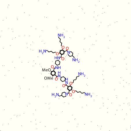 COc1cc(OC)c(C(=O)N[C@H]2CC[C@@H](NC(=O)c3cc(C(=O)N4CCC(CN)CC4)c(OCCCCCN)cc3OCCCCCN)CC2)cc1C(=O)N[C@H]1CC[C@@H](NC(=O)c2cc(C(=O)N3CCC(CN)CC3)c(OCCCCCN)cc2OCCCCCN)CC1